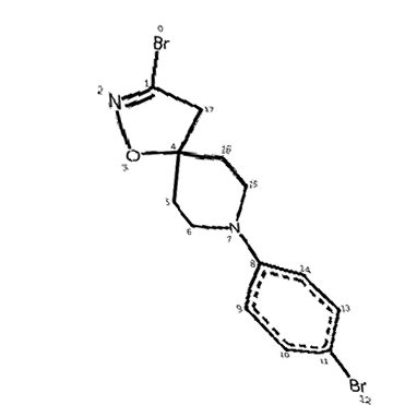 BrC1=NOC2(CCN(c3ccc(Br)cc3)CC2)C1